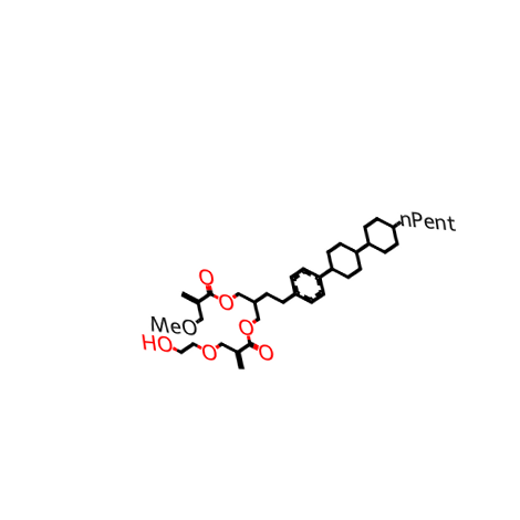 C=C(COC)C(=O)OCC(CCc1ccc(C2CCC(C3CCC(CCCCC)CC3)CC2)cc1)COC(=O)C(=C)COCCO